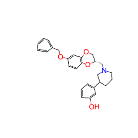 Oc1cccc(C2CCCN(C[C@H]3COc4cc(OCc5ccccc5)ccc4O3)C2)c1